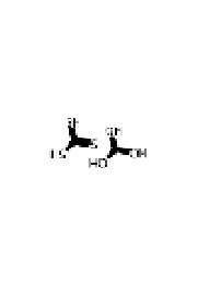 OC(O)O.S=C(S)S